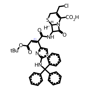 CC(C)(C)OC(=O)/C=C(/C(=O)NC1C(=O)N2C(C(=O)O)=C(CCl)CS[C@H]12)c1csc(NC(c2ccccc2)(c2ccccc2)c2ccccc2)n1